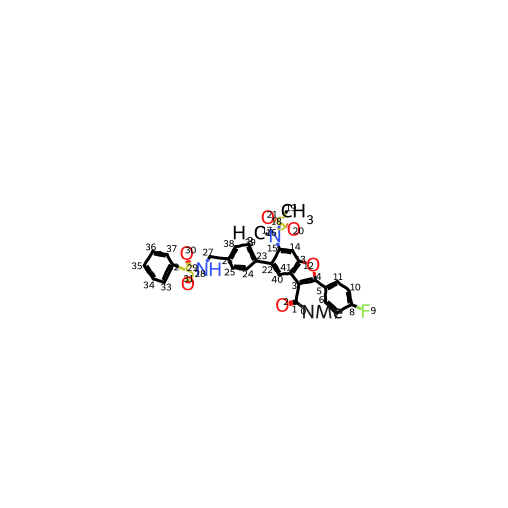 CNC(=O)c1c(-c2ccc(F)cc2)oc2cc(N(C)S(C)(=O)=O)c(-c3ccc(CNS(=O)(=O)c4ccccc4)cc3)cc12